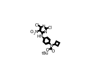 CC(C)(C)OC(=O)N(c1ccc(Nc2nc(Cl)nc(Cl)c2[N+](=O)[O-])cc1)C1CCC1